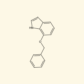 [c]1c[nH]c2c(OCc3ccccc3)cccc12